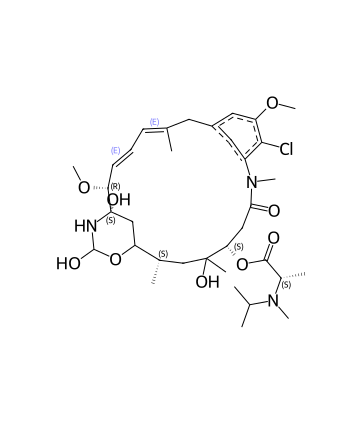 COc1cc2cc(c1Cl)N(C)C(=O)C[C@H](OC(=O)[C@H](C)N(C)C(C)C)C(C)(O)C[C@H](C)C1C[C@@](O)(NC(O)O1)[C@H](OC)/C=C/C=C(\C)C2